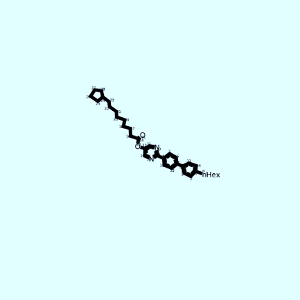 CCCCCCc1ccc(-c2ccc(-c3ncc(OC(=O)CCCCCCCCC4CCCC4)cn3)cc2)cc1